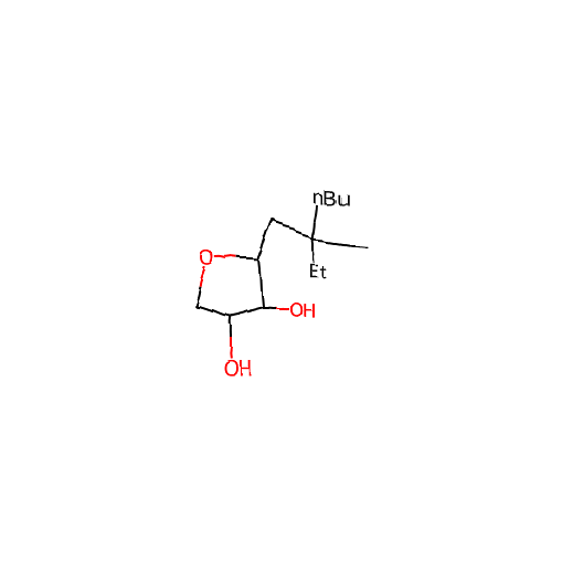 CCCCC(C)(CC)CC1OCC(O)C1O